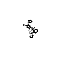 O=C(Nc1cc(OC2CCCC2)c(Cl)cc1F)C1=C(C(=O)N2CCCC2)CCCC1